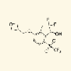 O=S(=O)(c1ccc(OCC2COC2)c2c1[C@H](O)C(F)(F)C2)C(F)(F)F